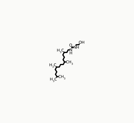 CC(C)CCCC(C)CCCC(C)CCCC(C)CCNC(=O)NCCO